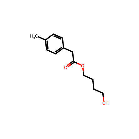 Cc1ccc(CC(=O)OCCCCO)cc1